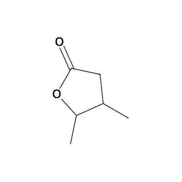 CC1CC(=O)OC1C